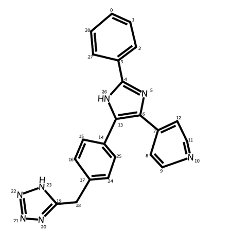 c1ccc(-c2nc(-c3ccncc3)c(-c3ccc(Cc4nnn[nH]4)cc3)[nH]2)cc1